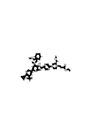 CCOC(=O)CCN1CCN(c2cnc(-c3nc4nc(-c5cnc(C6CC6)c(C(F)(F)F)c5)cc(N(C)CC5(COC)CCCCC5)c4[nH]3)cn2)C[C@H]1COC